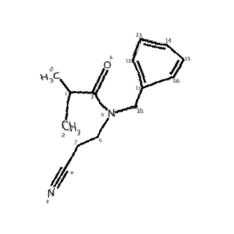 CC(C)C(=O)N(CCC#N)Cc1ccccc1